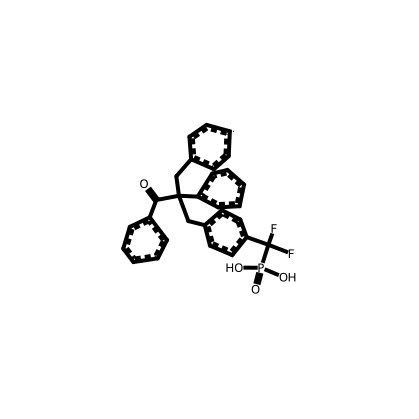 O=C(c1ccccc1)C(Cc1cc[c]cc1)(Cc1ccc(C(F)(F)P(=O)(O)O)cc1)c1ccccc1